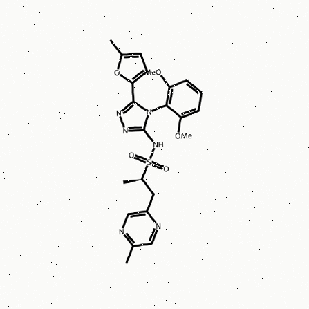 COc1cccc(OC)c1-n1c(NS(=O)(=O)[C@H](C)Cc2cnc(C)cn2)nnc1-c1ccc(C)o1